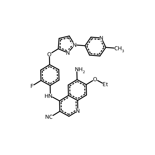 CCOc1cc2ncc(C#N)c(Nc3ccc(Oc4ccn(-c5ccc(C)nc5)n4)cc3F)c2cc1N